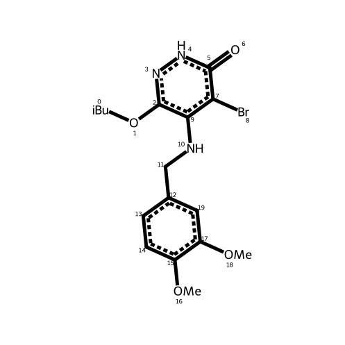 CCC(C)Oc1n[nH]c(=O)c(Br)c1NCc1ccc(OC)c(OC)c1